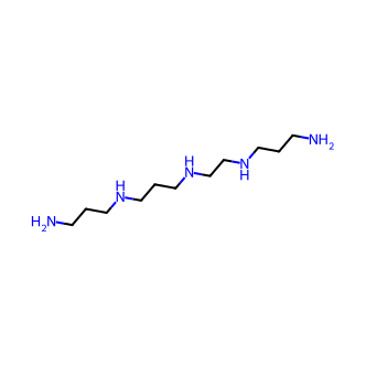 NCCCNCCCNCCNCCCN